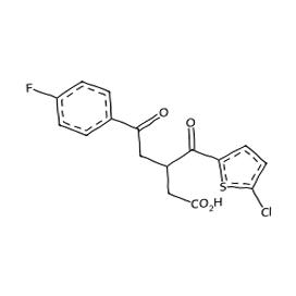 O=C(O)CC(CC(=O)c1ccc(F)cc1)C(=O)c1ccc(Cl)s1